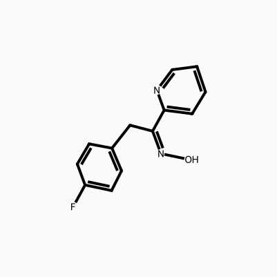 ON=C(Cc1ccc(F)cc1)c1ccccn1